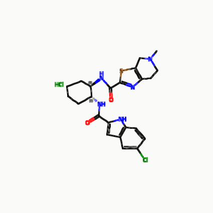 CN1CCc2nc(C(=O)N[C@@H]3CCCC[C@H]3NC(=O)c3cc4cc(Cl)ccc4[nH]3)sc2C1.Cl